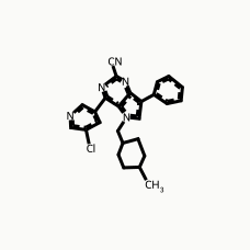 CC1CCC(Cn2cc(-c3ccccc3)c3nc(C#N)nc(-c4cncc(Cl)c4)c32)CC1